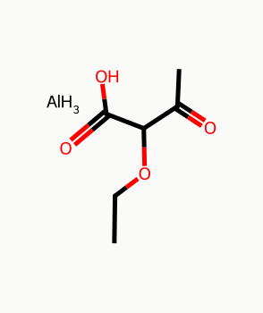 CCOC(C(C)=O)C(=O)O.[AlH3]